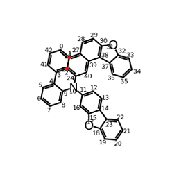 c1ccc(-c2ccccc2N(c2ccc3c(c2)oc2ccccc23)c2ccc3ccc4oc5ccccc5c4c3c2)cc1